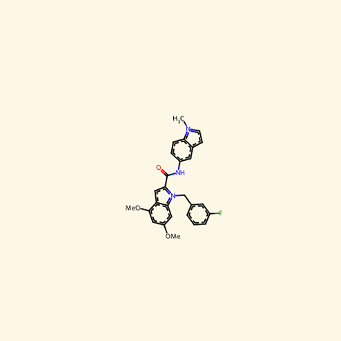 COc1cc(OC)c2cc(C(=O)Nc3ccc4c(ccn4C)c3)n(Cc3cccc(F)c3)c2c1